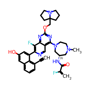 C#Cc1cccc2cc(O)cc(-c3ncc4c(N5CCN(C)C[C@H](NC(=O)C(=C)F)C5)nc(OCC56CCCN5CCC6)nc4c3F)c12